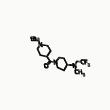 CN(CC(F)(F)F)C1CCN(C(=O)C2CCN(C(C)(C)C)CC2)CC1